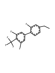 CCc1ccc(-c2cc(F)c(C(F)(F)F)c(F)c2)c(F)c1